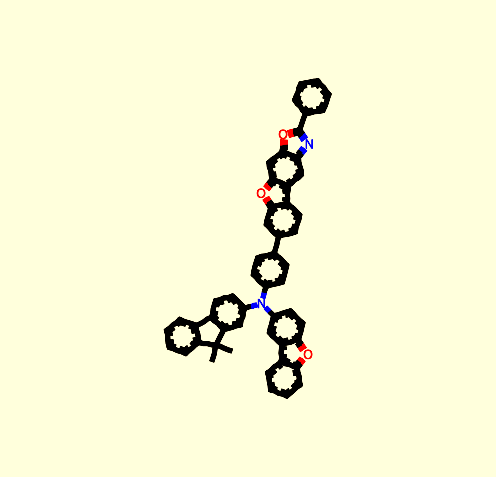 CC1(C)c2ccccc2-c2ccc(N(c3ccc(-c4ccc5c(c4)oc4cc6oc(-c7ccccc7)nc6cc45)cc3)c3ccc4oc5ccccc5c4c3)cc21